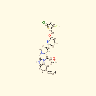 O=C(O)c1ccc2nc(CN3CC=C(c4cccc(OCc5sc(Cl)cc5F)n4)CC3)n(C[C@@H]3CCO3)c2c1